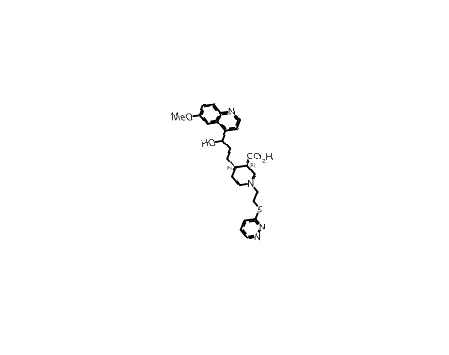 COc1ccc2nccc(C(O)CC[C@@H]3CCN(CCSc4cccnn4)C[C@@H]3C(=O)O)c2c1